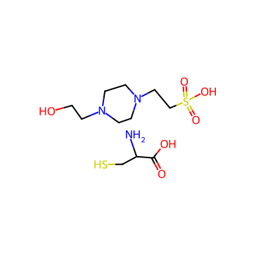 NC(CS)C(=O)O.O=S(=O)(O)CCN1CCN(CCO)CC1